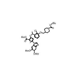 COC(=O)c1sc(-n2cnc3c2C=C(OC)C(OC)C3)cc1OC(C)c1cccc(OCC2CCN(C(=O)OC(C)(C)C)CC2)c1Cl